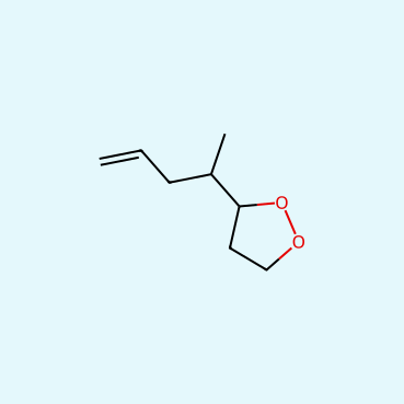 C=CCC(C)C1CCOO1